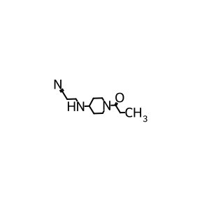 CCC(=O)N1CCC(NCCC#N)CC1